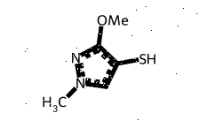 COc1nn(C)cc1S